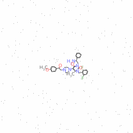 COc1ccc(C(=O)CN2CCN(c3c(C)n(Cc4c(F)cccc4F)c(=O)n(CC(N)c4ccccc4)c3=O)CC2)cc1